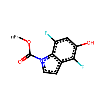 CCCOC(=O)n1ccc2c(F)c(O)cc(F)c21